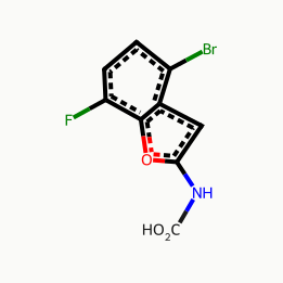 O=C(O)Nc1cc2c(Br)ccc(F)c2o1